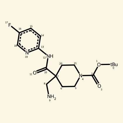 CC(C)(C)OC(=O)N1CCC(CN)(C(=O)Nc2ccc(F)cn2)CC1